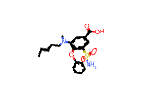 CCCCCN(C)c1cc(C(=O)O)cc(S(N)(=O)=O)c1Oc1ccccc1